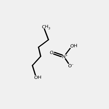 CCCCCO.O=[N+]([O-])O